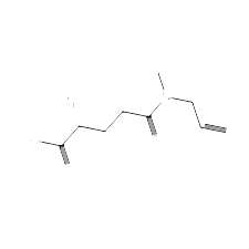 C=CCN(C)C(=O)CC[C@@H](N)C(=O)O